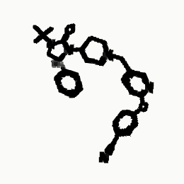 CC(C)(C)N1C[C@@H](c2ccccc2)N(C2CCN(Cc3ccc(Oc4ccc(C#N)cc4)nc3)CC2)C1=O